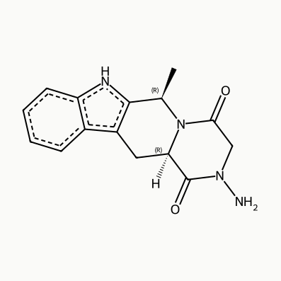 C[C@@H]1c2[nH]c3ccccc3c2C[C@@H]2C(=O)N(N)CC(=O)N21